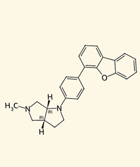 CN1C[C@H]2CCN(c3ccc(-c4cccc5c4oc4ccccc45)cc3)[C@H]2C1